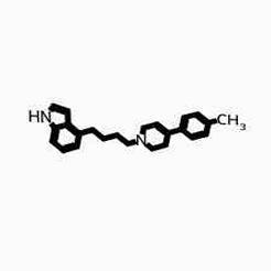 Cc1ccc(C2=CCN(CCCCc3cccc4[nH]ccc34)CC2)cc1